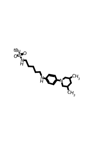 CC1CC(C)CN(c2ccc(NCCCCCNS(=O)(=O)C(C)(C)C)cc2)C1